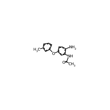 CC(=O)Nc1cc(Oc2cccc(C)c2)ccc1N